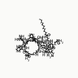 CCCCCCCCCCCC(=O)NCC(=O)N[C@@H](CO)C(=O)N[C@H](CCC(N)=O)C(=O)N[C@@H](CC(N)CN)C(=O)N[C@H](C(=O)N[C@@H](CCCC)C(=O)N[C@H]1CCC(=O)NCCCC[C@@H](C(N)=O)NC(=O)[C@H](Cc2c[nH]c3ccccc23)NC(=O)[C@H](CCCNC(=N)N)NC(=O)[C@@H](Cc2ccccc2)NC(=O)[C@@H]2C[C@@H](O)CN2C1=O)C(C)O